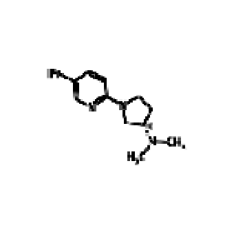 CC(C)c1ccc(N2CC[C@H](N(C)C)C2)nc1